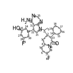 CC(c1cc2ccc(F)cn2c(=O)c1-c1ccccc1)n1cc(-c2cc(O)cc(F)c2)c2c(N)ncnc21